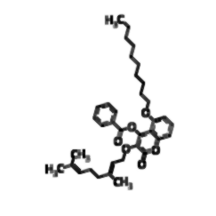 CCCCCCCCCCOc1cccc2oc(=O)c(OC/C=C(\C)CCC=C(C)C)c(OC(=O)c3ccccc3)c12